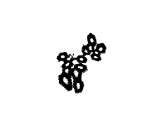 c1cc(-c2ccc3c(c2)C2(c4ccccc4-c4ccccc42)c2ccccc2-3)cc(-c2nc3ccccc3c3cc4c(cc23)C2(c3ccccc3-c3ccccc32)c2ccccc2-4)c1